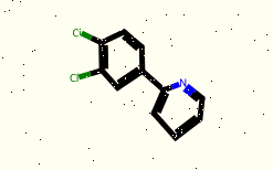 Clc1ccc(-c2c[c]ccn2)cc1Cl